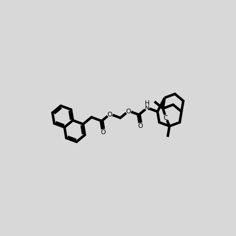 CC12CC3CCC(C(NC(=O)OCOC(=O)Cc4cccc5ccccc45)C1)C(C)(C3)C2